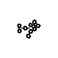 c1ccc(-c2cccc(N(c3ccc(-n4c5ccccc5c5ccccc54)cc3)c3cccc4c3-c3ccccc3C43c4ccccc4-c4ccccc43)c2)cc1